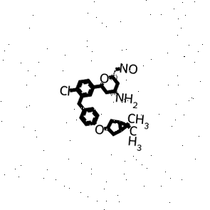 CC1(C)C2CC(Oc3ccc(Cc4cc(C5C[C@@H](N)C[C@@H](CN=O)O5)ccc4Cl)cc3)CC21